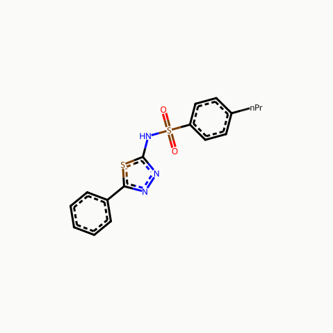 CCCc1ccc(S(=O)(=O)Nc2nnc(-c3ccccc3)s2)cc1